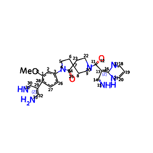 COc1cc(N2CCC3(CCN(C(=O)/C(C=N)=C4\N=CC=CN4)CC3)C2=O)ccc1/C(C=N)=C/N